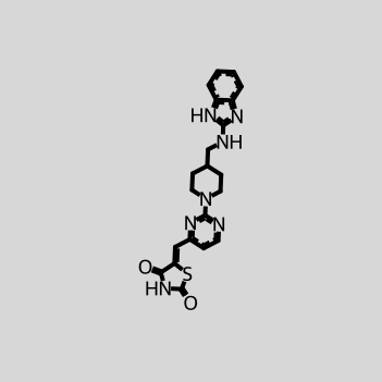 O=C1NC(=O)/C(=C/c2ccnc(N3CCC(CNc4nc5ccccc5[nH]4)CC3)n2)S1